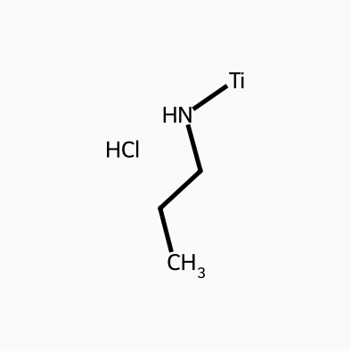 CCC[NH][Ti].Cl